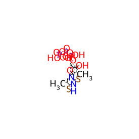 Cc1cn([C@H]2O[C@@H](COP(=O)(O)OP(=O)(O)OP(=O)(O)O)[C@@H](O)C2C)c(=S)[nH]c1=S